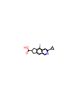 O=C(O)C1Cc2cc3cnc(C4CC4)cc3c(I)c2C1